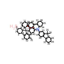 Bc1ccc2c(c1)C1(c3ccccc3-c3cc(N(c4ccc5c(c4)C(C)(C)c4ccccc4-5)c4ccccc4-c4ccccc4)ccc31)c1cc(C)ccc1-2